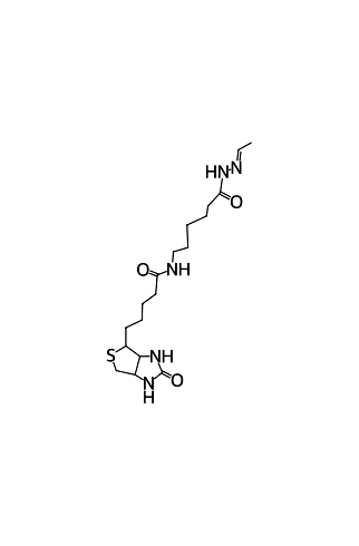 C/C=N/NC(=O)CCCCCNC(=O)CCCCC1SCC2NC(=O)NC21